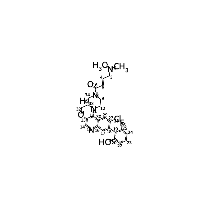 CN(C)C/C=C/C(=O)N1CCN2c3c(cnc4cc(-c5c(O)cccc5F)c(Cl)cc34)OC[C@H]2C1